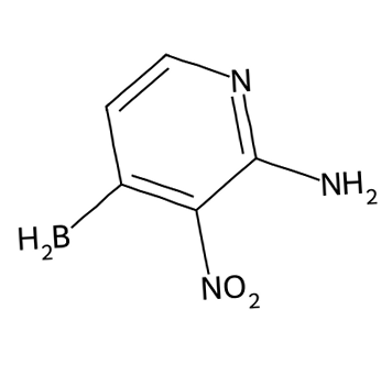 Bc1ccnc(N)c1[N+](=O)[O-]